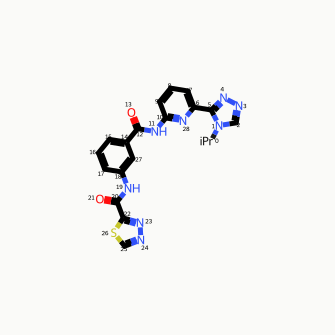 CC(C)n1cnnc1-c1cccc(NC(=O)c2cccc(NC(=O)c3nncs3)c2)n1